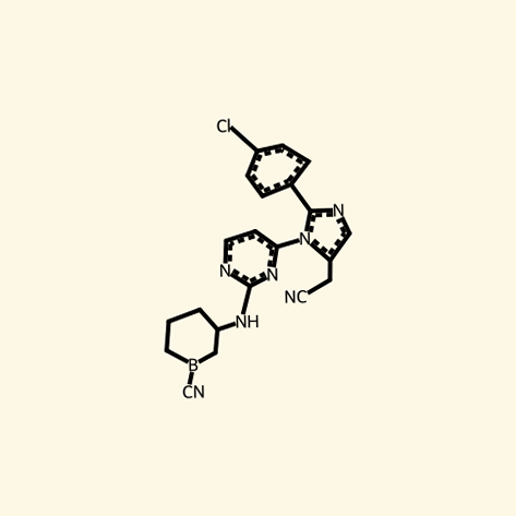 N#CCc1cnc(-c2ccc(Cl)cc2)n1-c1ccnc(NC2CCCB(C#N)C2)n1